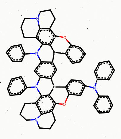 c1ccc(N(c2ccccc2)c2ccc3c(c2)Oc2c4c5c(c6c2B3c2cc3c(cc2N6c2ccccc2)N(c2ccccc2)c2c6c7c(c8c2B3c2ccccc2O8)CCCN7CCC6)CCCN5CCC4)cc1